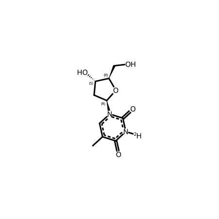 [2H]n1c(=O)c(C)cn([C@H]2C[C@H](O)[C@@H](CO)O2)c1=O